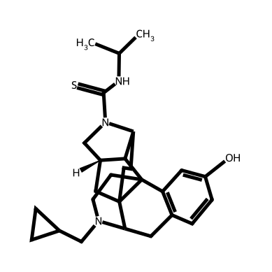 CC(C)NC(=S)N1C[C@H]2CC34CCC1C2C31CCN(CC2CC2)C4Cc2ccc(O)cc21